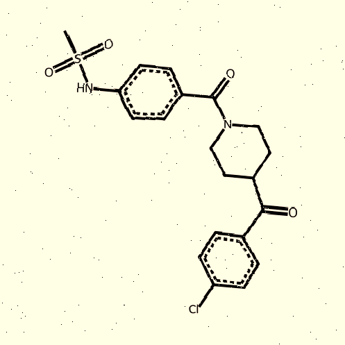 CS(=O)(=O)Nc1ccc(C(=O)N2CCC(C(=O)c3ccc(Cl)cc3)CC2)cc1